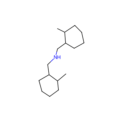 CC1CCCCC1CNCC1CCCCC1C